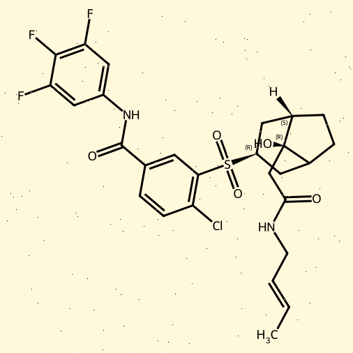 CC=CCNC(=O)C[C@@]1(O)C2CC[C@H]1C[C@H](S(=O)(=O)c1cc(C(=O)Nc3cc(F)c(F)c(F)c3)ccc1Cl)C2